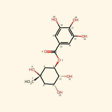 O=C(O[C@@H]1C[C@](O)(C(=O)O)C[C@@H](O)[C@H]1O)c1cc(O)c(O)c(O)c1